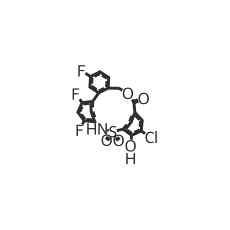 O=C1OCc2ccc(F)cc2-c2cc(c(F)cc2F)NS(=O)(=O)c2cc1cc(Cl)c2O